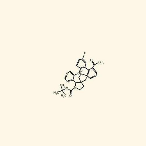 CC(=O)c1ccccc1-c1cc(F)ccc1Oc1cncnc1C1N(C(=O)OC(C)(C)C)CCC12CCNC2